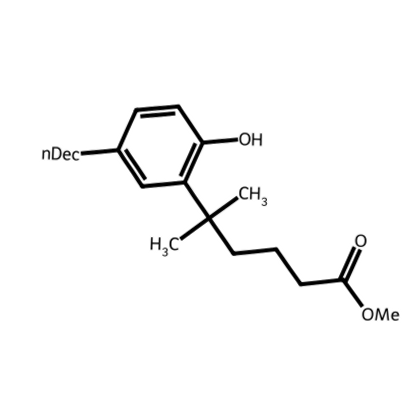 CCCCCCCCCCc1ccc(O)c(C(C)(C)CCCC(=O)OC)c1